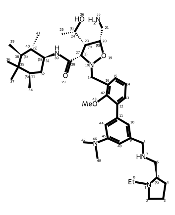 CCN1CCC[C@@H]1CNCc1cc(-c2cccc(CN3O[C@@H](CN)[C@@H]([C@H](C)O)[C@H]3C(=O)N[C@H]3C[C@@H](C)C(C)(C)[C@@H](C)[C@@H]3C)c2OC)cc(N(C)C)c1